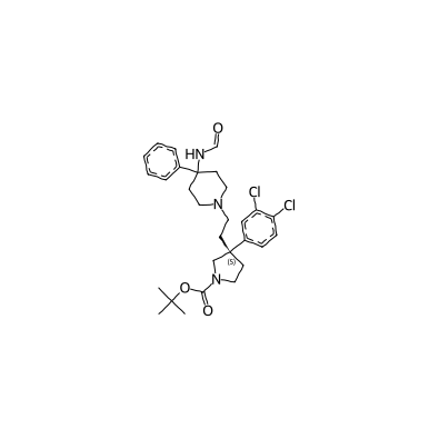 CC(C)(C)OC(=O)N1CC[C@@](CCN2CCC(NC=O)(c3ccccc3)CC2)(c2ccc(Cl)c(Cl)c2)C1